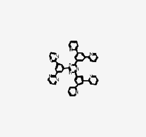 c1ccc(-c2cc(-c3ccccn3)cc(-c3nc(-c4cc(-c5ccccn5)cc(-c5ccccn5)c4)nc(-c4cc(-c5ncccn5)cc(-c5ncccn5)c4)n3)c2)nc1